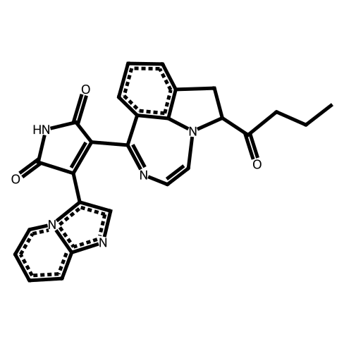 CCCC(=O)C1Cc2cccc3c2N1C=CN=C3C1=C(c2cnc3ccccn23)C(=O)NC1=O